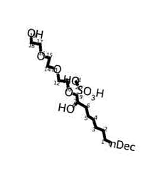 CCCCCCCCCCCCCCCCC(O)COCCOCCOCCO.O=S(=O)(O)O